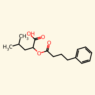 CC(C)CC(OC(=O)CCCc1ccccc1)C(=O)O